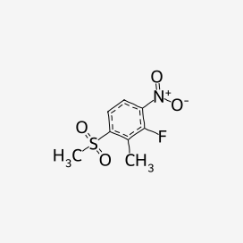 Cc1c(S(C)(=O)=O)ccc([N+](=O)[O-])c1F